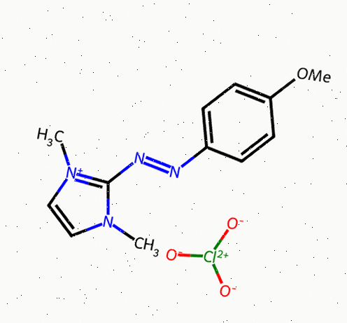 COc1ccc(/N=N/c2n(C)cc[n+]2C)cc1.[O-][Cl+2]([O-])[O-]